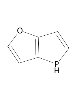 c1cc2[pH]ccc2o1